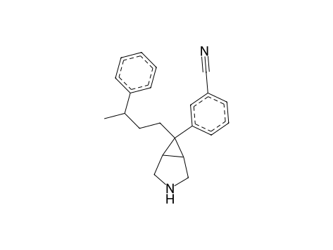 CC(CCC1(c2cccc(C#N)c2)C2CNCC21)c1ccccc1